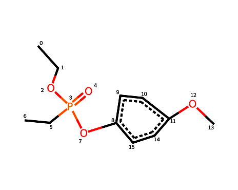 CCOP(=O)(CC)Oc1ccc(OC)cc1